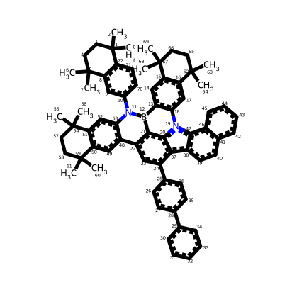 CC1(C)CCC(C)(C)c2cc(N3B4c5cc6c(cc5-n5c7c4c(cc(-c4ccc(-c8ccccc8)cc4)c7c4ccc7ccccc7c45)-c4cc5c(cc43)C(C)(C)CCC5(C)C)C(C)(C)CCC6(C)C)ccc21